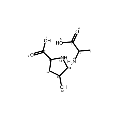 CC(N)C(=O)O.O=C(O)C1CC(O)CN1